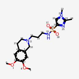 COc1cc2c(cc1OC)CN(CCCNS(=O)(=O)c1cn(C)c(C)n1)CC2